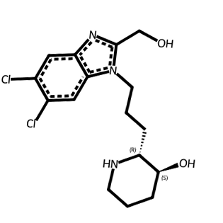 OCc1nc2cc(Cl)c(Cl)cc2n1CCC[C@H]1NCCC[C@@H]1O